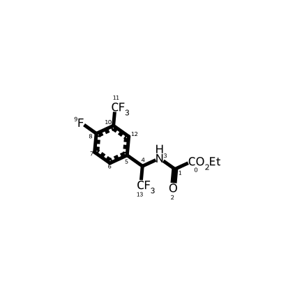 CCOC(=O)C(=O)NC(c1ccc(F)c(C(F)(F)F)c1)C(F)(F)F